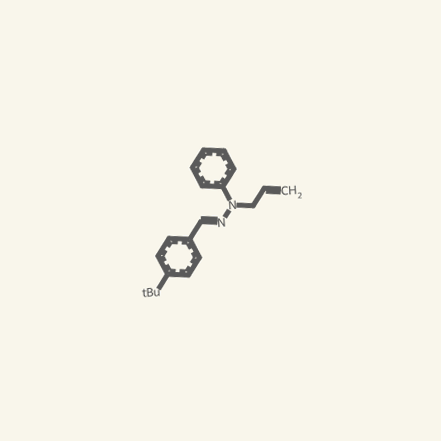 C=CCN(/N=C/c1ccc(C(C)(C)C)cc1)c1ccccc1